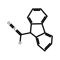 [O]C(=C=O)C1c2ccccc2-c2ccccc21